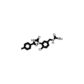 CC(C)(C)C(=O)NCc1ccc(Cl)c(-n2nc(-c3ccc(I)cc3)[nH]c2=O)c1